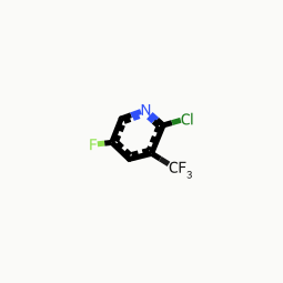 Fc1cnc(Cl)c(C(F)(F)F)c1